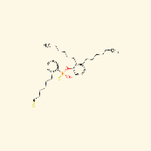 CCCCCCc1cccc(OP(O)(=S)c2ccccc2CCCCCC=S)c1CCCCCC